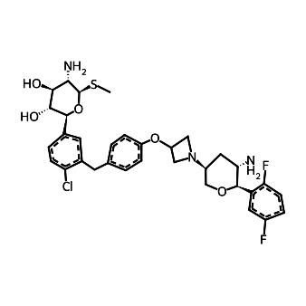 CS[C@H]1O[C@@H](c2ccc(Cl)c(Cc3ccc(OC4CN([C@@H]5CO[C@H](c6cc(F)ccc6F)[C@@H](N)C5)C4)cc3)c2)[C@H](O)[C@@H](O)[C@@H]1N